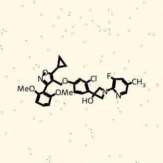 COc1cccc(OC)c1-c1noc(C2CC2)c1COc1ccc(C2(O)CN(c3ncc(C)cc3F)C2)c(Cl)c1